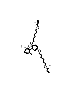 C=CC(=O)OCCCCCCOC1=CC(c2ccccc2C)C(OCCCCCCOC(=O)C=C)(C(=O)O)C=C1